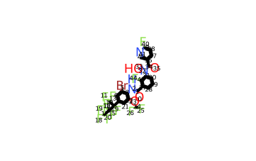 O=C(Nc1c(Br)cc(C(F)(C(F)(F)F)C(F)(F)C(F)(F)F)cc1OC(F)F)c1cccc(N(O)C(=O)c2ccc(F)nc2)c1F